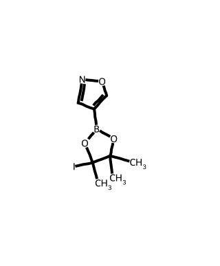 CC1(C)OB(c2cnoc2)OC1(C)I